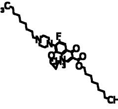 CCCCCCCCCOC(=O)c1cn(C2CC2)c2c(OC)c(N3CCN(CCCCCCCCC)CC3)c(F)cc2c1=O